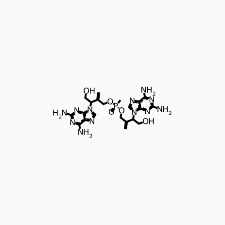 C=C(COP(C)(=O)OCC(=C)C(CO)n1cnc2c(N)nc(N)nc21)C(CO)n1cnc2c(N)nc(N)nc21